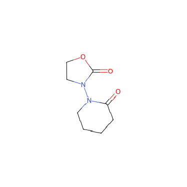 O=C1CCCCN1N1CCOC1=O